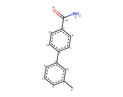 Cc1cccc(-c2ccc(C(N)=O)cc2)c1